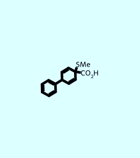 CSC1(C(=O)O)C=CC(c2ccccc2)C=C1